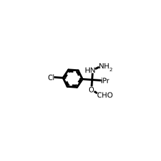 CC(C)C(NN)(OC=O)c1ccc(Cl)cc1